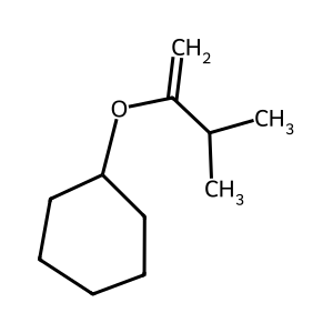 C=C(OC1CCCCC1)C(C)C